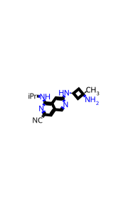 CC(C)Nc1nc(C#N)cc2cnc(N[C@H]3C[C@](C)(N)C3)cc12